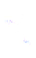 C=CC(N)C(C)CN